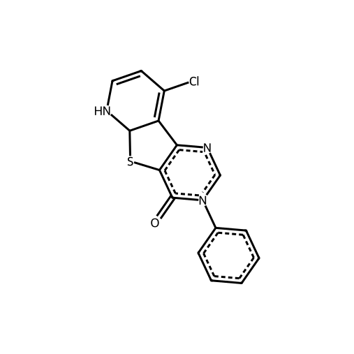 O=c1c2c(ncn1-c1ccccc1)C1=C(Cl)C=CNC1S2